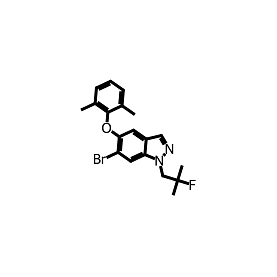 Cc1cccc(C)c1Oc1cc2cnn(CC(C)(C)F)c2cc1Br